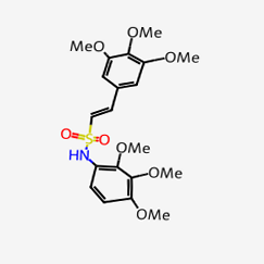 COc1cc(C=CS(=O)(=O)Nc2ccc(OC)c(OC)c2OC)cc(OC)c1OC